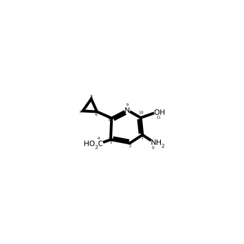 Nc1cc(C(=O)O)c(C2CC2)nc1O